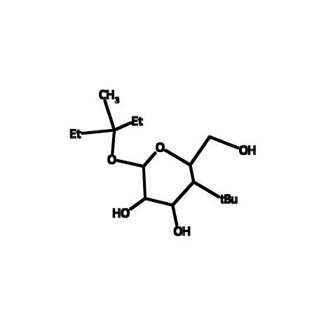 CCC(C)(CC)OC1OC(CO)C(C(C)(C)C)C(O)C1O